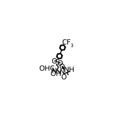 CC1(C)NC(=O)N(CC(CCS(=O)(=O)c2ccc(-c3ccc(C(F)(F)F)cc3)cc2)N(O)C=O)C1=O